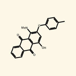 CNc1c(Oc2ccc(C)cc2)cc(O)c2c1C(=O)c1ccccc1C2=O